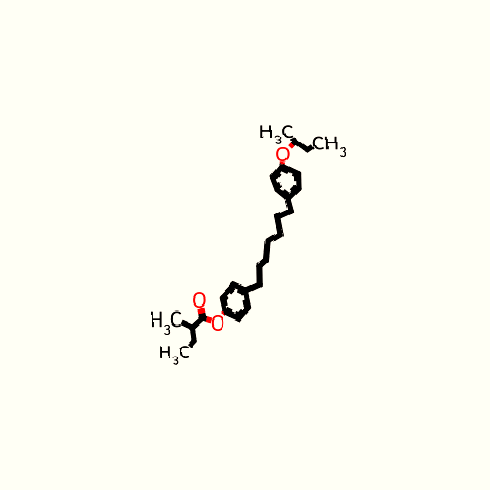 CCC(C)Oc1ccc(CCCCCCCc2ccc(OC(=O)C(C)CC)cc2)cc1